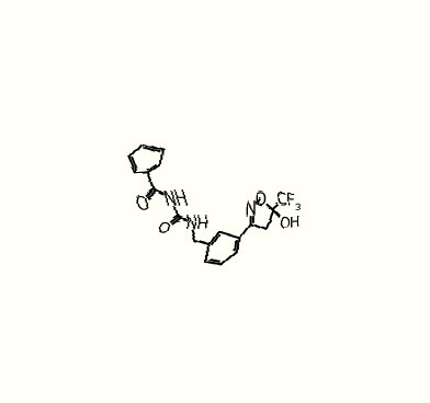 O=C(NCc1cccc(C2=NOC(O)(C(F)(F)F)C2)c1)NC(=O)c1ccccc1